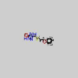 O=c1[nH]nc(CSCCCOc2ccccc2)[nH]1